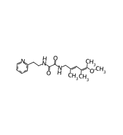 CO/C(C)=C(C)/C=C(\C)CNC(=O)C(=O)NCCc1ccccn1